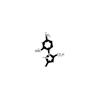 Cc1cc(C(=O)O)n(-c2ccc([N+](=O)[O-])cc2C=O)n1